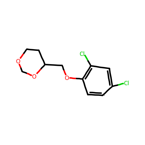 Clc1[c]cc(OCC2CCOCO2)c(Cl)c1